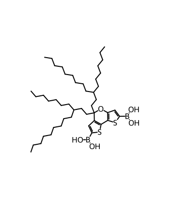 CCCCCCCCCC(CCCCCCC)CCC1(CCC(CCCCCCC)CCCCCCCCC)Oc2cc(B(O)O)sc2-c2sc(B(O)O)cc21